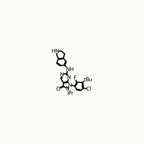 CC(C)n1c(=O)c2cnc(Nc3ccc4c(c3)CCNC4)nc2n1-c1ccc(Cl)c(C(C)(C)C)c1F